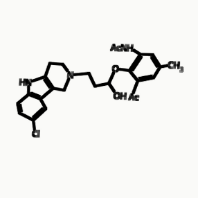 CC(=O)Nc1cc(C)cc(C(C)=O)c1OC(O)CCN1CCc2[nH]c3ccc(Cl)cc3c2C1